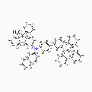 CC1(c2ccccc2)c2ccccc2-c2cc(N(c3ccc(-c4ccc5c(c4)c(-c4ccccc4)c(-c4ccccc4)c4ccccc45)cc3)c3ccc4ccccc4c3)ccc21